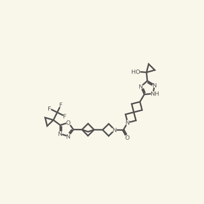 O=C(N1CC(C23CC(c4nnc(C5(C(F)(F)F)CC5)o4)(C2)C3)C1)N1CC2(CC(c3nc(C4(O)CC4)n[nH]3)C2)C1